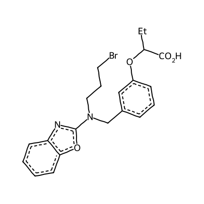 CCC(Oc1cccc(CN(CCCBr)c2nc3ccccc3o2)c1)C(=O)O